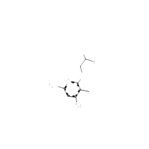 Cc1c(N)cc(C#N)nc1OCC(F)F